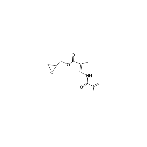 C=C(C)C(=O)NC=C(C)C(=O)OCC1CO1